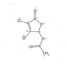 CC(=O)OC1OC(=O)C(Cl)=C1Cl